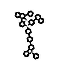 c1ccc(-c2cc3ccccc3c3c2oc2c(N(c4ccc(-c5ccc(-c6ccc7c(c6)c6ccccc6n7-c6ccccc6)cc5)cc4)c4ccc(-c5cccc6ccccc56)cc4)cccc23)cc1